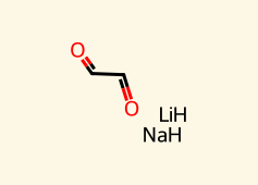 O=CC=O.[LiH].[NaH]